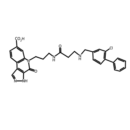 O=C(CCNCc1ccc(-c2ccccc2)c(Cl)c1)NCCCn1c(=O)c2[nH]ncc2c2ccc(C(=O)O)cc21